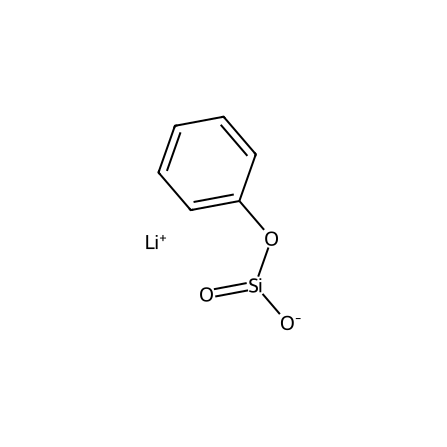 O=[Si]([O-])Oc1ccccc1.[Li+]